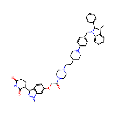 Cc1c(-c2ccccc2)n(Cc2ccc(N3CCC(CCN4CCN(C(=O)COc5ccc6c(C7CCC(=O)NC7=O)nn(C)c6c5)CC4)CC3)cc2)c2ccccc12